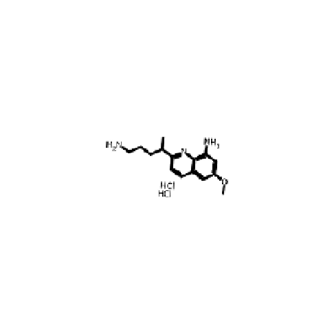 COc1cc(N)c2nc(C(C)CCCN)ccc2c1.Cl.Cl